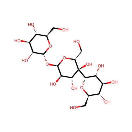 OC[C@H]1O[C@H]([C@]2(O)[C@H](O)[C@@H](O)[C@@H](O[C@H]3O[C@H](CO)[C@@H](O)[C@H](O)[C@H]3O)O[C@@H]2CO)[C@H](O)[C@@H](O)[C@@H]1O